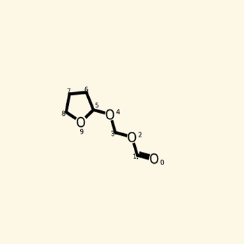 O=[C]OCOC1CCCO1